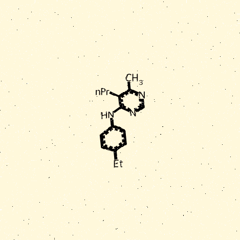 CCCc1c(C)ncnc1Nc1ccc(CC)cc1